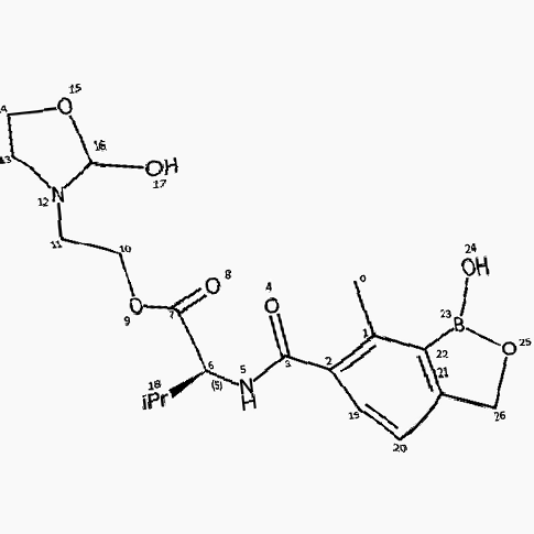 Cc1c(C(=O)N[C@H](C(=O)OCCN2CCOC2O)C(C)C)ccc2c1B(O)OC2